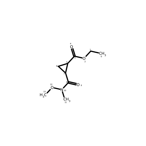 CCOC(=O)C1CC1C(=O)N(C)OC